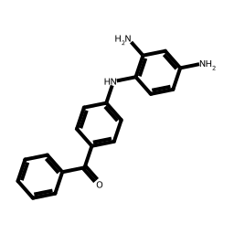 Nc1ccc(Nc2ccc(C(=O)c3ccccc3)cc2)c(N)c1